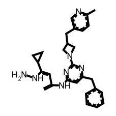 C=C(/C=C(\NN)C1CC1)Nc1cc(Cc2ccccc2)nc(N2CC(Cc3ccc(C)nc3)C2)n1